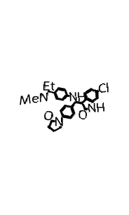 CCC(NC)c1ccc(NC(=C2C(=O)Nc3cc(Cl)ccc32)c2ccc(N3CCCC3=O)cc2)cc1